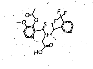 COc1ccnc(C(=S)N([C@@H](C)C(=O)O)[C@@H](C)[C@@H](C)c2ccccc2C(F)(F)F)c1OC(C)=O